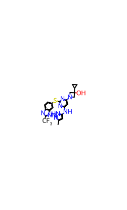 Cc1cc(Nc2cc(N3CC(O)(C4CC4)C3)nc(Sc3ccc4nc(C(F)(F)F)[nH]c4c3)n2)[nH]n1